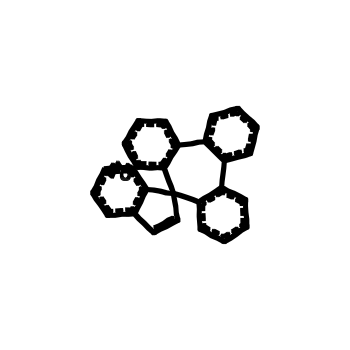 C1=CC2(c3ccccc3-c3ccccc3-c3ccccc32)c2c1ccc1ccoc21